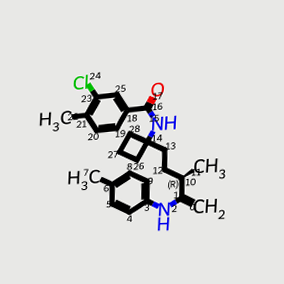 C=C(Nc1ccc(C)cc1)[C@H](C)CCC1(NC(=O)c2ccc(C)c(Cl)c2)CCC1